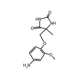 COc1cc(N)ccc1OCC1(C)NC(=O)NC1=O